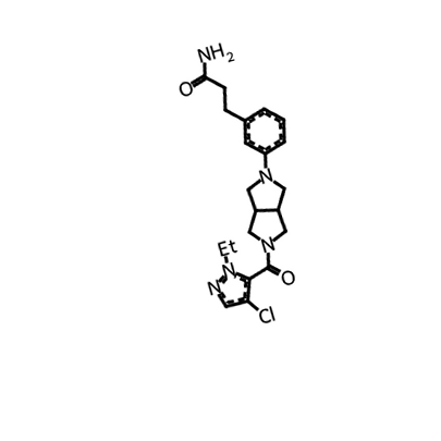 CCn1ncc(Cl)c1C(=O)N1CC2CN(c3cccc(CCC(N)=O)c3)CC2C1